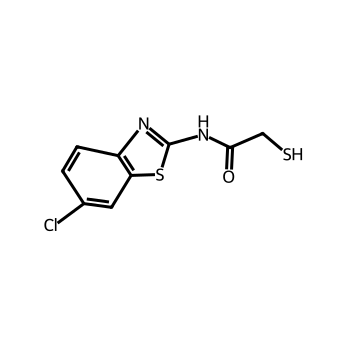 O=C(CS)Nc1nc2ccc(Cl)cc2s1